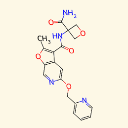 Cc1oc2cnc(OCc3ccccn3)cc2c1C(=O)NC1(C(N)=O)COC1